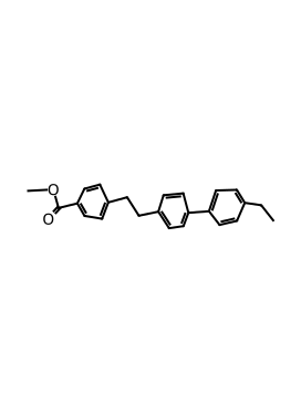 CCc1ccc(-c2ccc(CCc3ccc(C(=O)OC)cc3)cc2)cc1